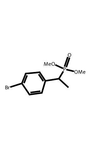 COP(=O)(OC)C(C)c1ccc(Br)cc1